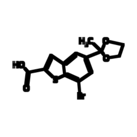 CC1(c2cc(Br)c3sc(C(=O)O)cc3c2)OCCO1